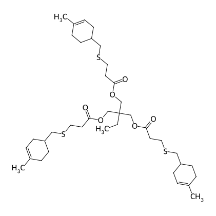 CCC(COC(=O)CCSCC1CC=C(C)CC1)(COC(=O)CCSCC1CC=C(C)CC1)COC(=O)CCSCC1CC=C(C)CC1